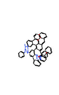 c1ccc(Nc2cc(-c3c(-c4ccccc4-c4ccccc4)cc4cc5ccccc5cc4c3-c3ccccc3-c3ccccc3)c3c(c2)c2ccccc2n3-c2ccccc2)cc1